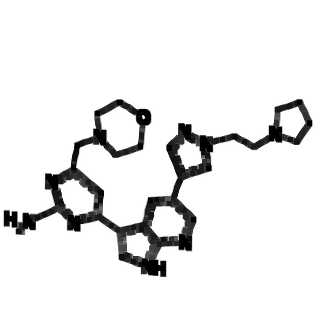 Nc1nc(CN2CCOCC2)cc(-c2c[nH]c3ncc(-c4cnn(CCN5CCCC5)c4)cc23)n1